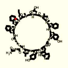 CCCC[C@H]1C(=O)N(C)CC(=O)N[C@@H](CC(=O)O)C(=O)N[C@@H](C(C)C)C(=O)N(C)[C@@H](Cc2ccccc2)C(=O)N[C@@H](Cc2ccc(O)cc2)C(=O)N(C)CC(=O)NC(Cc2c[nH]c3ncccc23)C(=O)N[C@@H](Cc2ccc(O)cc2)C(=O)N[C@@H](CC(C)C)C(=O)N[C@H](C(=O)NCC(N)=O)CSCC(=O)N[C@@H](Cc2ccccc2)C(=O)N(C)[C@@H](Cc2ccccc2)C(=O)N1C